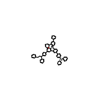 C1=CCCC(N(c2ccccc2)c2ccc(-c3ccc4c(c3)c3cc(-c5ccc(C(CCc6ccccc6)c6ccccc6)cc5)ccc3n4-c3ccc(-c4ccccc4)cc3-c3ccccc3)cc2)=C1